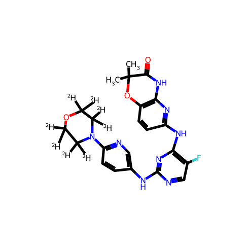 [2H]C1([2H])OC([2H])([2H])C([2H])([2H])N(c2ccc(Nc3ncc(F)c(Nc4ccc5c(n4)NC(=O)C(C)(C)O5)n3)cn2)C1([2H])[2H]